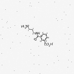 NCCCNC(=O)c1cccc(C(=O)O)c1